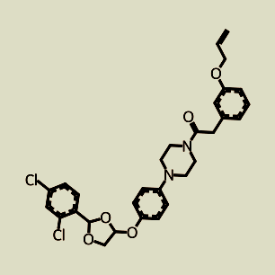 C=CCOc1cccc(CC(=O)N2CCN(c3ccc(OC4COC(c5ccc(Cl)cc5Cl)O4)cc3)CC2)c1